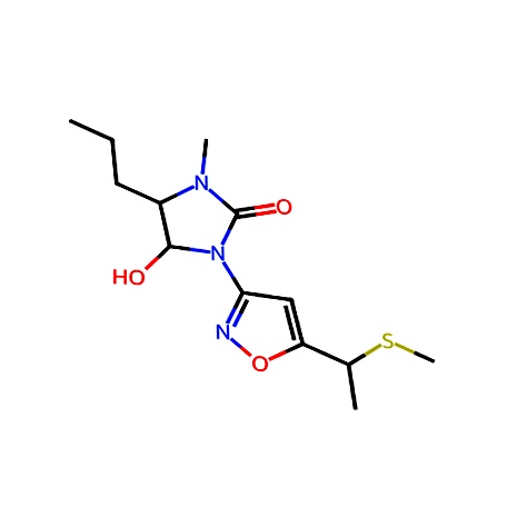 CCCC1C(O)N(c2cc(C(C)SC)on2)C(=O)N1C